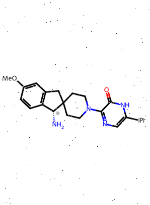 COc1ccc2c(c1)CC1(CCN(c3ncc(C(C)C)[nH]c3=O)CC1)[C@@H]2N